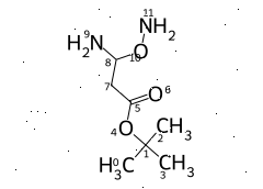 CC(C)(C)OC(=O)CC(N)ON